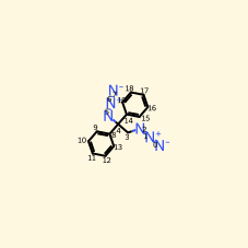 [N-]=[N+]=NCC(N=[N+]=[N-])(c1ccccc1)c1ccccc1